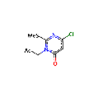 CSc1nc(Cl)cc(=O)n1CC(C)=O